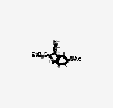 CCOC(=O)C1=Nc2ccc(OC(C)=O)cc2C1=[N+]=[N-]